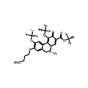 [2H]C([2H])([2H])OC(=O)c1cn2c(c(OC([2H])([2H])[2H])c1=O)-c1cc(OC([2H])([2H])[2H])c(OCCCOC)cc1C[C@H]2C(C)C